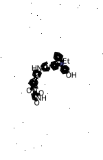 CC/C(=C(\c1ccc(O)cc1)c1ccc(N2CCC(NC3CCN(c4ccc5c(c4)CN(C4CCC(=O)NC4=O)C5=O)CC3)CC2)cc1)c1ccccc1